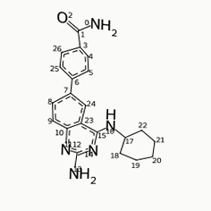 NC(=O)c1ccc(-c2ccc3nc(N)nc(NC4CCCCC4)c3c2)cc1